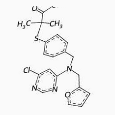 CC(C)(Sc1ccc(CN(Cc2ccco2)c2cc(Cl)ncn2)cc1)C(=O)O